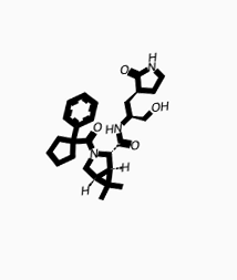 CC1(C)[C@@H]2[C@@H](C(=O)N[C@H](CO)C[C@@H]3CCNC3=O)N(C(=O)C3(c4ccccc4)CCCC3)C[C@@H]21